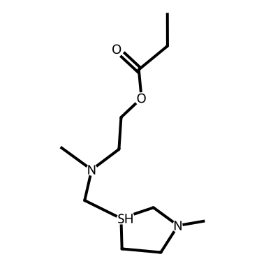 CCC(=O)OCCN(C)C[SH]1CCN(C)C1